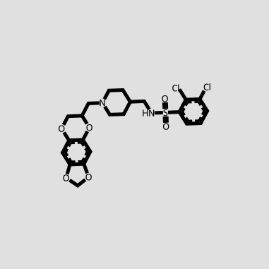 O=S(=O)(NCC1CCN(CC2COc3cc4c(cc3O2)OCO4)CC1)c1cccc(Cl)c1Cl